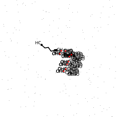 C#CCCCC#C.O=[CH][Co]([CH]=O)([CH]=O)([CH]=O)([CH]=O)([CH]=O)([CH]=O)([CH]=O)([CH]=O)([CH]=O)([CH]=O)[CH]=O.O=[CH][Co]([CH]=O)([CH]=O)([CH]=O)([CH]=O)([CH]=O)([CH]=O)([CH]=O)([CH]=O)([CH]=O)([CH]=O)[CH]=O.O=[CH][Co]([CH]=O)([CH]=O)([CH]=O)([CH]=O)([CH]=O)([CH]=O)([CH]=O)([CH]=O)([CH]=O)([CH]=O)[CH]=O.O=[CH][Co]([CH]=O)([CH]=O)([CH]=O)([CH]=O)([CH]=O)([CH]=O)([CH]=O)([CH]=O)([CH]=O)([CH]=O)[CH]=O